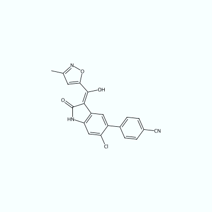 Cc1cc(/C(O)=C2\C(=O)Nc3cc(Cl)c(-c4ccc(C#N)cc4)cc32)on1